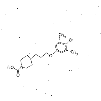 Cc1cc(OCCCC2CCN(C(=O)O)CC2)cc(C)c1Br